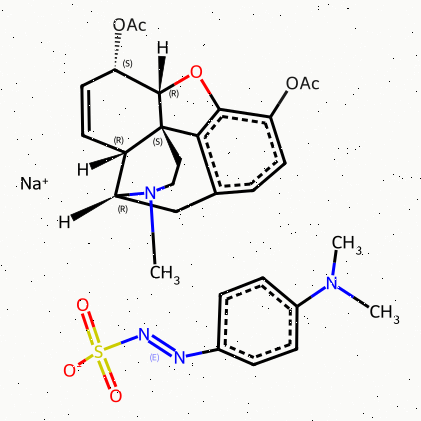 CC(=O)Oc1ccc2c3c1O[C@H]1[C@@H](OC(C)=O)C=C[C@H]4[C@@H](C2)N(C)CC[C@@]341.CN(C)c1ccc(/N=N/S(=O)(=O)[O-])cc1.[Na+]